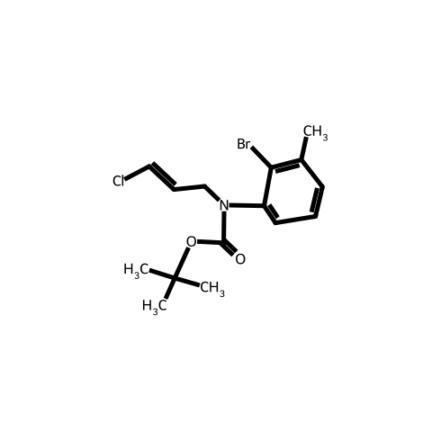 Cc1cccc(N(CC=CCl)C(=O)OC(C)(C)C)c1Br